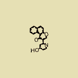 O=c1c(-c2cc(O)ccn2)coc2ccc3ccccc3c12